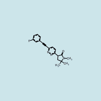 CN1C(=O)C(c2ccc(C#Cc3cccc(F)c3)nn2)CC1(C)C